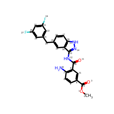 COC(=O)c1ccc(N)c(C(=O)Nc2n[nH]c3ccc(Cc4cc(F)cc(F)c4)cc23)c1